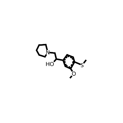 COc1cc(C(O)CN2CCCCC2)ccc1SC